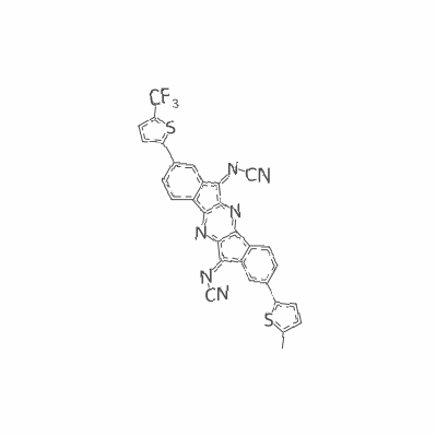 Cc1ccc(-c2ccc3c(c2)/c(=N\C#N)c2nc4c(nc23)/c(=N\C#N)c2cc(-c3ccc(C(F)(F)F)s3)ccc24)s1